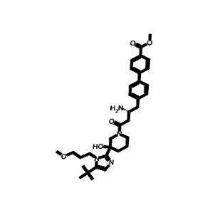 COCCCn1c(C(C)(C)C)cnc1C1(O)CCCN(C(=O)C[C@H](N)Cc2ccc(-c3ccc(C(=O)OC)cc3)cc2)C1